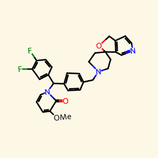 COc1cccn(C(c2ccc(CN3CCC4(CC3)OCc3ccncc34)cc2)c2ccc(F)c(F)c2)c1=O